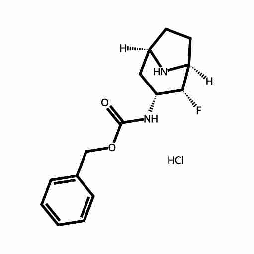 Cl.O=C(N[C@@H]1C[C@H]2CC[C@H](N2)[C@@H]1F)OCc1ccccc1